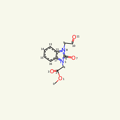 COC(=O)Cn1c(=O)n(CC=O)c2ccccc21